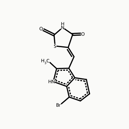 Cc1[nH]c2c(Br)cccc2c1C=C1SC(=O)NC1=O